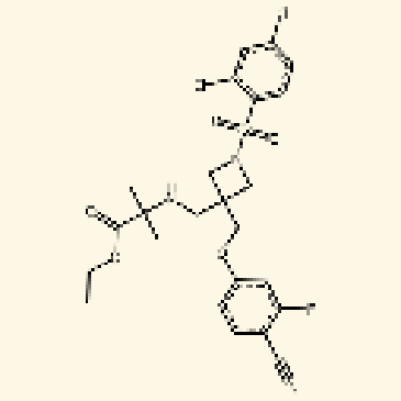 CCOC(=O)C(C)(C)NCC1(COc2ccc(C#N)c(F)c2)CN(S(=O)(=O)c2ccc(Cl)cc2Cl)C1